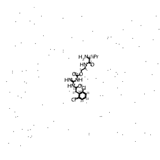 CC(C)[C@@H](N)C(=O)NCCOC(=O)NC(=N)NC(=O)Cc1c(Cl)cccc1Cl